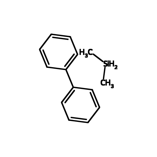 C[SiH2]C.c1ccc(-c2ccccc2)cc1